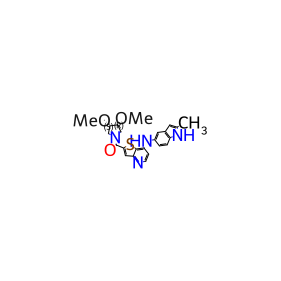 CO[C@H]1CN(C(=O)c2cc3nccc(Nc4ccc5[nH]c(C)cc5c4)c3s2)C[C@H]1OC